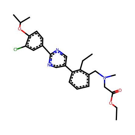 CCOC(=O)CN(C)Cc1cccc(-c2cnc(-c3ccc(OC(C)C)c(Cl)c3)nc2)c1CC